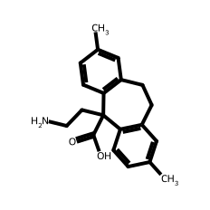 Cc1ccc2c(c1)CCc1cc(C)ccc1C2(CCN)C(=O)O